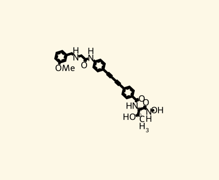 COc1cccc(CNCC(=O)Nc2ccc(C#CC#Cc3ccc(C(=O)N[C@H](C(=O)NO)[C@@H](C)O)cc3)cc2)c1